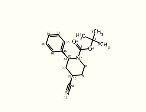 CC(C)(C)OC(=O)N1CC[C@@H](C#N)C[C@H]1c1ccccc1